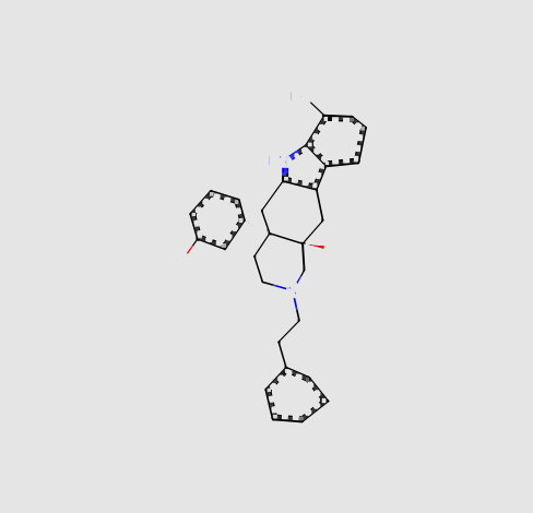 Cc1cccc2c3c([nH]c12)C[C@]1(c2cccc(O)c2)CCN(CCc2ccccc2)C[C@@]1(O)C3